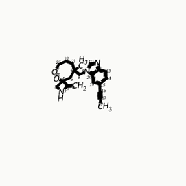 C=C1NCC12CC(C)(Cn1cnc3ccc(C#CC)cc31)CCCOO2